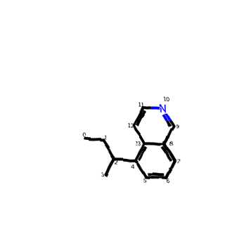 CCC(C)c1cccc2cnccc12